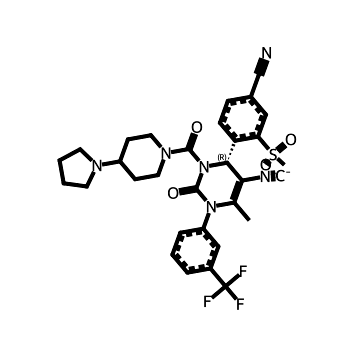 [C-]#[N+]C1=C(C)N(c2cccc(C(F)(F)F)c2)C(=O)N(C(=O)N2CCC(N3CCCC3)CC2)[C@@H]1c1ccc(C#N)cc1S(C)(=O)=O